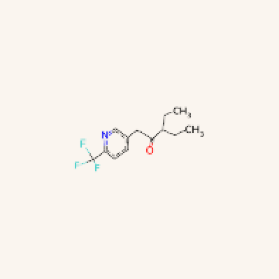 CCC(CC)C(=O)Cc1ccc(C(F)(F)F)nc1